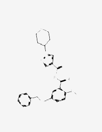 CNc1ccc(OCc2ccccc2)cc1C(=N)NC(=O)c1cnn(C2CCNCC2)c1